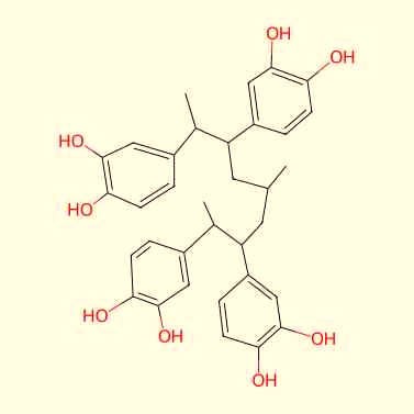 CC(CC(c1ccc(O)c(O)c1)C(C)c1ccc(O)c(O)c1)CC(c1ccc(O)c(O)c1)C(C)c1ccc(O)c(O)c1